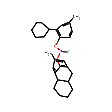 Cc1ccc(OP(F)Oc2c3cc(C)cc2C2CCCCC2C3)c(C2CCCCC2)c1